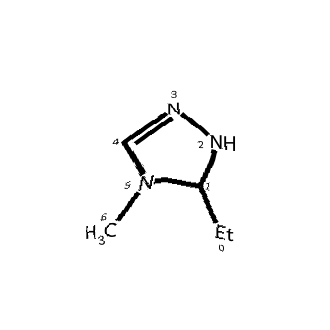 CCC1NN=CN1C